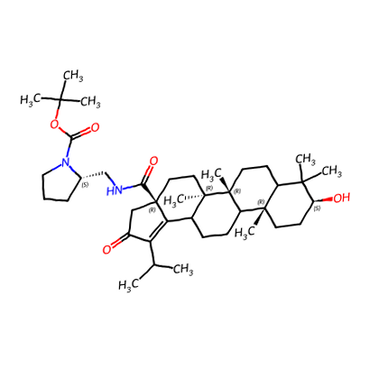 CC(C)C1=C2C3CCC4[C@@]5(C)CC[C@H](O)C(C)(C)C5CC[C@@]4(C)[C@]3(C)CC[C@@]2(C(=O)NC[C@@H]2CCCN2C(=O)OC(C)(C)C)CC1=O